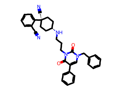 N#Cc1ccccc1[C@]1(C#N)CC[C@@H](NCCCn2c(=O)c(-c3ccccc3)cn(Cc3ccccc3)c2=O)CC1